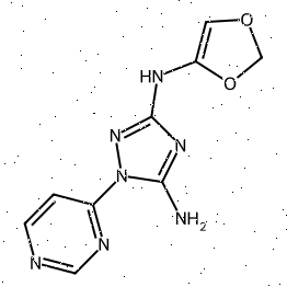 Nc1nc(NC2=COCO2)nn1-c1ccncn1